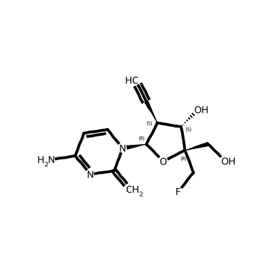 C#C[C@@H]1[C@H](N2C=CC(N)=NC2=C)O[C@@](CO)(CF)[C@H]1O